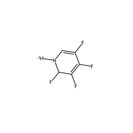 [2H]N1C=C(F)C(F)=C(F)C1F